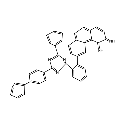 N=C1C=Cc2ccc3ccc(-c4ccccc4-c4nc(-c5ccccc5)nc(-c5ccc(-c6ccccc6)cc5)n4)cc3c2C1=N